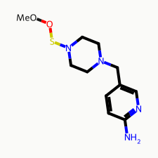 COOSN1CCN(Cc2ccc(N)nc2)CC1